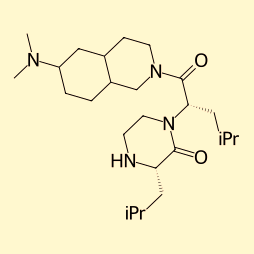 CC(C)C[C@@H]1NCCN([C@@H](CC(C)C)C(=O)N2CCC3CC(N(C)C)CCC3C2)C1=O